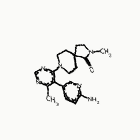 Cc1ncnc(N2CCC3(CCN(C)C3=O)CC2)c1-c1ccc(N)nc1